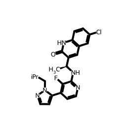 CC(C)Cn1nccc1-c1ccnc(N[C@@H](C)c2cc3cc(Cl)ccc3[nH]c2=O)c1F